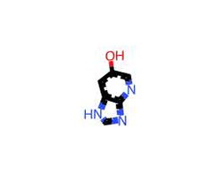 Oc1cnc2nc[nH]c2c1